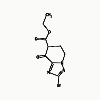 CCOC(=O)C1CCn2nc(Br)nc2C1=O